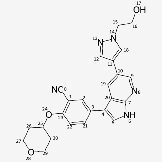 N#Cc1cc(-c2c[nH]c3ncc(-c4cnn(CCO)c4)cc23)ccc1OC1CCOCC1